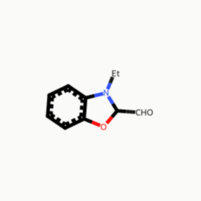 CCN1c2ccccc2OC1C=O